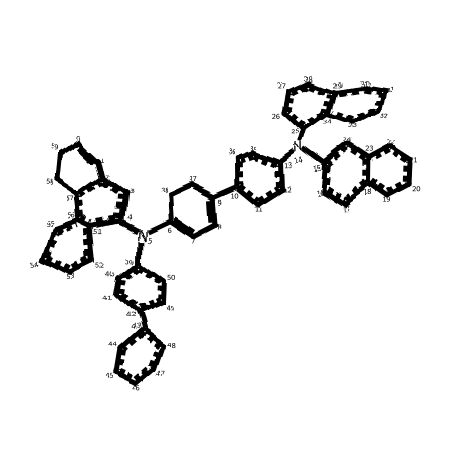 C1=Cc2cc(N(C3=CC=C(c4ccc(N(c5ccc6ccccc6c5)c5cccc6ccccc56)cc4)CC3)c3ccc(-c4ccccc4)cc3)c3ccccc3c2CC1